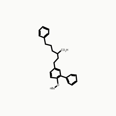 CCCCOc1ccc(CCC(CCCc2ccccc2)C(=O)O)cc1-c1ccccc1